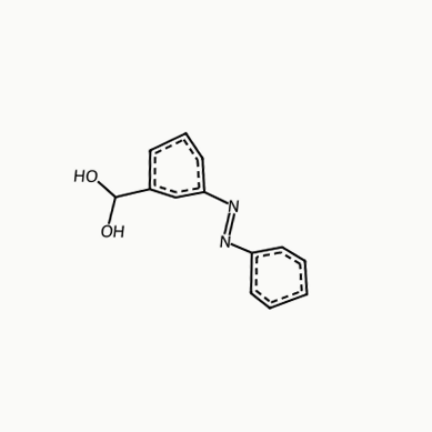 OC(O)c1cccc(N=Nc2ccccc2)c1